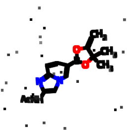 C=C1OB(c2ccc3nc(NC(C)=O)cn3c2)OC1(C)C